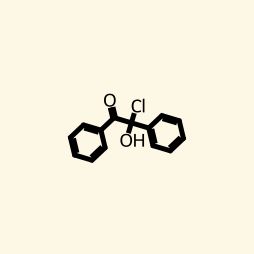 O=C(c1ccccc1)C(O)(Cl)c1ccccc1